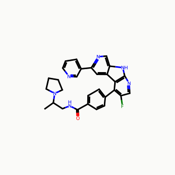 CC(CNC(=O)c1ccc(-c2c(F)cnc3[nH]c4cnc(-c5cccnc5)cc4c23)cc1)N1CCCC1